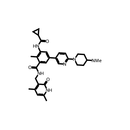 CNC1CCN(c2ccc(-c3cc(NC(=O)C4CC4)c(C)c(C(=O)NCc4c(C)cc(C)[nH]c4=O)c3)cn2)CC1